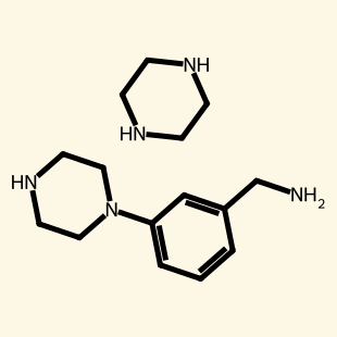 C1CNCCN1.NCc1cccc(N2CCNCC2)c1